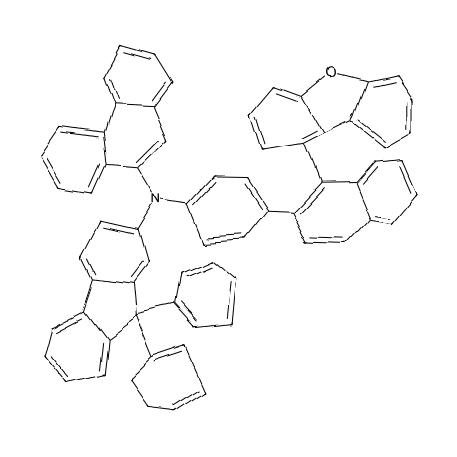 C1=CCCC(C2(c3ccccc3)c3ccccc3-c3ccc(N(c4ccc(-c5ccc6ccccc6c5-c5cccc6oc7ccccc7c56)cc4)c4cc5ccccc5c5ccccc45)cc32)=C1